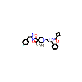 CNC(=O)C1(c2nc(Cc3ccc(F)cc3)no2)CCN(CC[C@H](NC(=O)C2CCC2)c2ccccc2)CC1